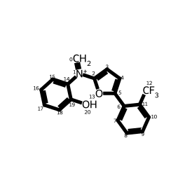 C=[N+](c1ccc(-c2ccccc2C(F)(F)F)o1)c1ccccc1O